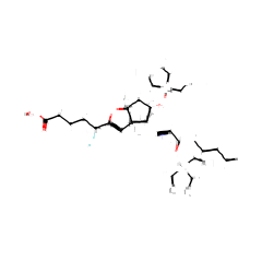 CCCCC[C@@H](/C=C/[C@@H]1[C@H]2C=C([C@@H](F)CCCC(=O)OC)O[C@H]2C[C@H]1O[Si](CC)(CC)CC)O[Si](CC)(CC)CC